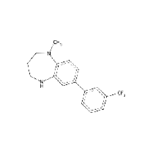 CN1CCCNc2cc(-c3cccc(C(F)(F)F)c3)ccc21